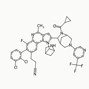 Cc1nc2c(F)c(-c3cccc(Cl)c3Cl)c(CCC#N)cc2c2c1cc(C1C3CC(CN(c4cncc(C(F)(F)F)c4)C3)N1C(=O)C1CC1)n2C1C2CNC1C2